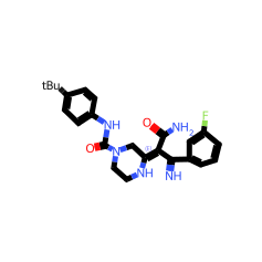 CC(C)(C)c1ccc(NC(=O)N2CCN/C(=C(\C(=N)c3cccc(F)c3)C(N)=O)C2)cc1